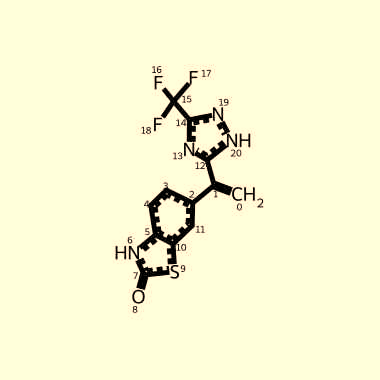 C=C(c1ccc2[nH]c(=O)sc2c1)c1nc(C(F)(F)F)n[nH]1